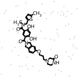 Cc1ccc(CN(C)C(=O)c2cc(C(=O)N3Cc4ccc(OCCCN5CCNC(=O)C5)cc4C3)c(O)cc2O)s1